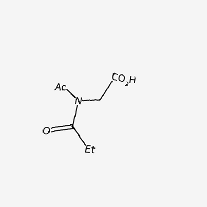 CCC(=O)N(CC(=O)O)C(C)=O